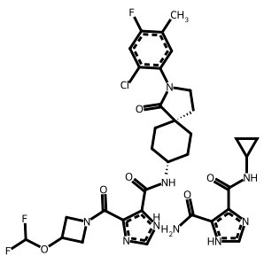 Cc1cc(N2CC[C@]3(CC[C@@H](NC(=O)c4[nH]cnc4C(=O)N4CC(OC(F)F)C4)CC3)C2=O)c(Cl)cc1F.NC(=O)c1[nH]cnc1C(=O)NC1CC1